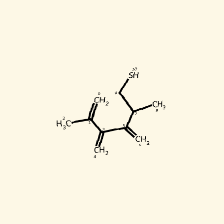 C=C(C)C(=C)C(=C)C(C)CS